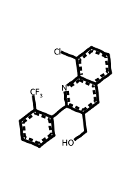 OCc1cc2cccc(Cl)c2nc1-c1ccccc1C(F)(F)F